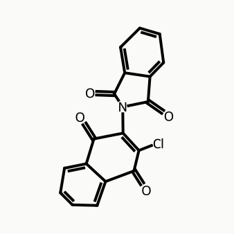 O=C1C(Cl)=C(N2C(=O)c3ccccc3C2=O)C(=O)c2ccccc21